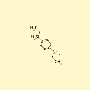 CC[SiH2]c1ccc([SiH2]CC)cc1